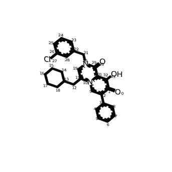 O=c1c(-c2ccccc2)cn2c(CC3CCCCC3)cn(Cc3cccc(Cl)c3)c(=O)c2c1O